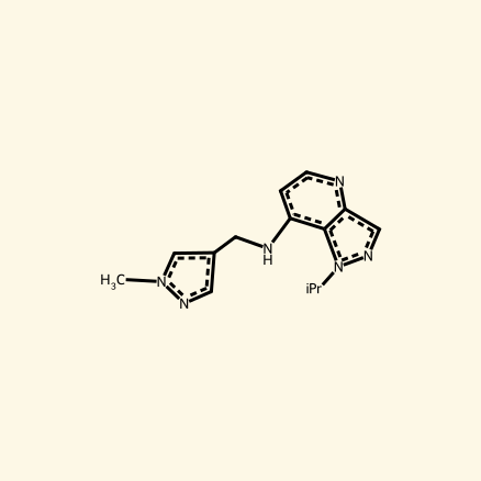 CC(C)n1ncc2nccc(NCc3cnn(C)c3)c21